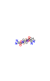 Cc1cc(C#N)c(C#N)cc1C(=O)/C(C=O)=C\c1nc2c(s1)C1=C(c3sc(C=C4C(=O)c5cc(C#N)c(C#N)cc5C4=O)nc3C13CCCCC3)C21CCCCC1